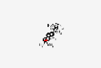 COC(C(=O)N(C)C1CCC2(C)C(=CCC3C2CCC24CN(C)C(C)C2CCC34)C1)C(C)C